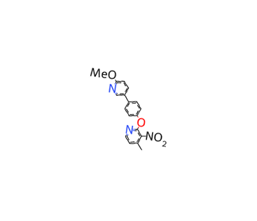 COc1ccc(-c2ccc(Oc3nccc(C)c3[N+](=O)[O-])cc2)cn1